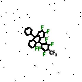 Fc1cc2c(-c3ccccc3)c3cccc(F)c3c(-c3c(F)c(F)c(C(F)(F)F)c(F)c3F)c2cc1F